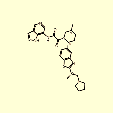 C[C@H]1CC[C@H](c2ccc3sc([C@H](C)CN4CCCC4)nc3c2)N(C(=O)C(=O)Nc2cncc3cn[nH]c23)C1